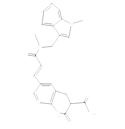 COC(=O)C1Cc2cc(C=CC(=O)N(C)Cc3cn(C)c4ccccc34)cnc2NC1=O